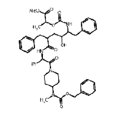 COC(=O)C(C)OC(=O)NC(Cc1ccccc1)C(O)CC(Cc1ccccc1)C(=O)NC(C(=O)N1CCC(N(C)C(=O)OCc2ccccc2)CC1)C(C)C